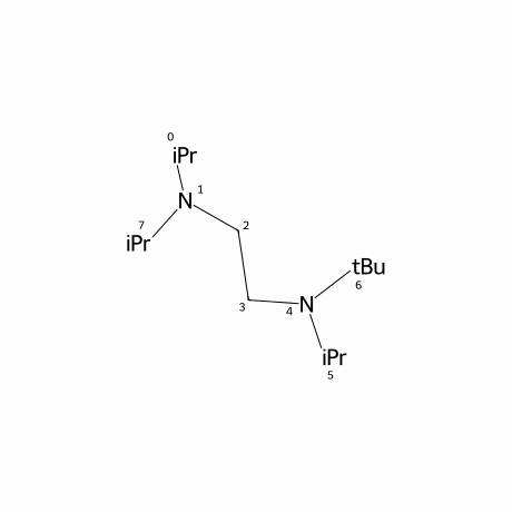 CC(C)N(CCN(C(C)C)C(C)(C)C)C(C)C